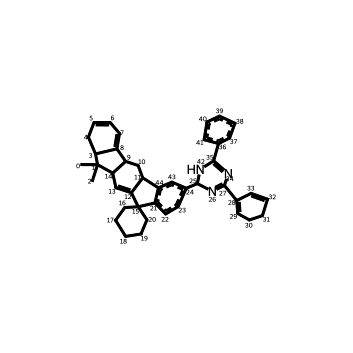 CC1(C)C2CC=CC=C2C2CC3C(=CC21)C1(CCCCC1)c1ccc(C2N=C(C4=CCCC=C4)N=C(c4ccccc4)N2)cc13